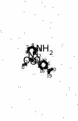 CCOC(=O)N1CCC[C@H](N)[C@@H]1CO[C@H]1CC[C@@H](C(C)C)CC1